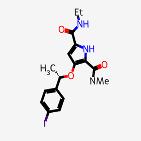 CCNC(=O)c1cc(O[C@@H](C)c2ccc(I)cc2)c(C(=O)NC)[nH]1